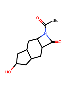 CC(C)(C)C(=O)N1C(=O)C2CC3CC(O)CC3CC21